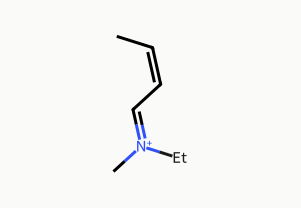 C/C=C\C=[N+](\C)CC